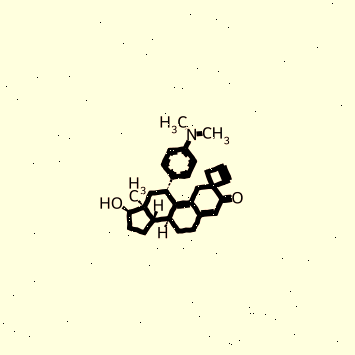 CN(C)c1ccc([C@H]2C[C@]3(C)[C@H](O)CC[C@H]3[C@@H]3CCC4=CC(=O)C5(C#CC5)CC4=C32)cc1